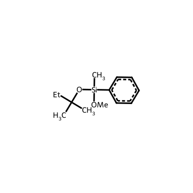 CCC(C)(C)O[Si](C)(OC)c1ccccc1